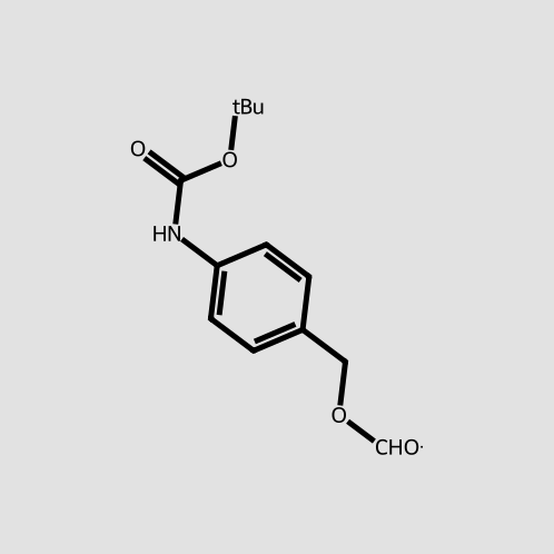 CC(C)(C)OC(=O)Nc1ccc(CO[C]=O)cc1